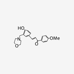 COc1ccc(C(=O)C=Cc2ccc(O)c(CN3CCOCC3)c2)cc1